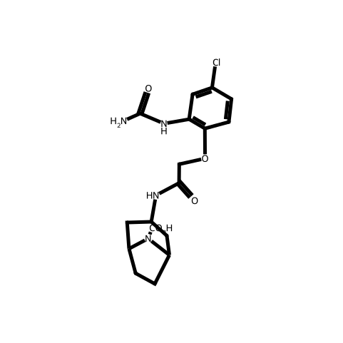 NC(=O)Nc1cc(Cl)ccc1OCC(=O)NC1CC2CCC(C1)N2C(=O)O